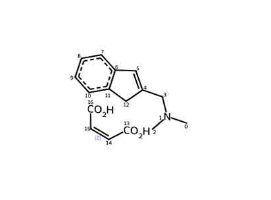 CN(C)CC1=Cc2ccccc2C1.O=C(O)/C=C\C(=O)O